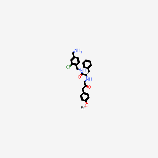 CCOc1ccc(CC(=O)CN[C@@H](Cc2ccccc2)C(=O)NCc2ccc(CN)cc2Cl)cc1